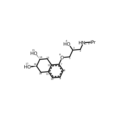 CC(C)NCC(O)COc1cccc2c1C[C@@H](O)[C@H](O)C2